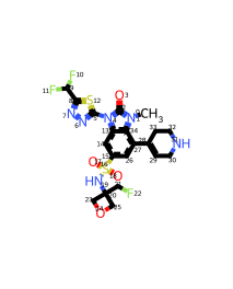 Cn1c(=O)n(-c2nnc(C(F)F)s2)c2cc(S(=O)(=O)NC3(CF)COC3)cc(C3=CCNCC3)c21